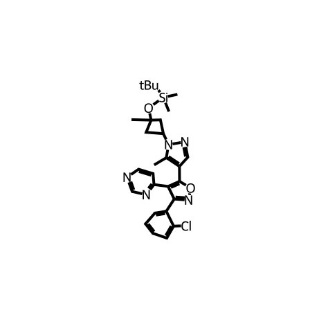 Cc1c(-c2onc(-c3ccccc3Cl)c2-c2ccncn2)cnn1C1CC(C)(O[Si](C)(C)C(C)(C)C)C1